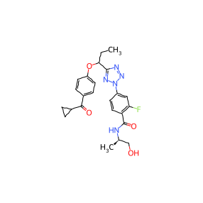 CCC(Oc1ccc(C(=O)C2CC2)cc1)c1nnn(-c2ccc(C(=O)N[C@H](C)CO)c(F)c2)n1